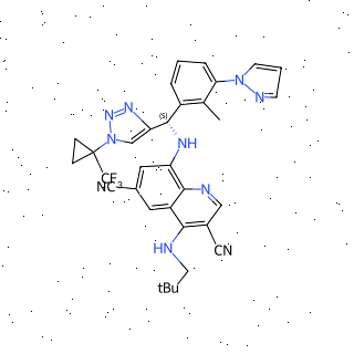 Cc1c([C@H](Nc2cc(C#N)cc3c(NCC(C)(C)C)c(C#N)cnc23)c2cn(C3(C(F)(F)F)CC3)nn2)cccc1-n1cccn1